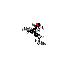 COc1c(CC(NC(=O)c2cccc(CN(CCNC(=O)OC(C)(C)C)C(C)=O)c2)B2OC3CC4CC(C4(C)C)C3(C)O2)cccc1C(=O)OC(C)(C)C